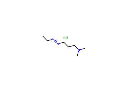 CC/N=N/CCCN(C)C.Cl